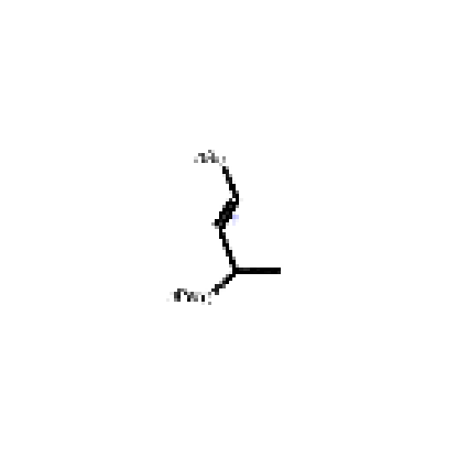 [CH2]CCC/C=C/C(C)CCCC[CH2]